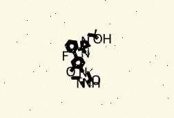 C[C@@H]1C(=O)NN=C2COc3cc(-c4ccccc4F)c(N(C)C4(C)CN(C[C@@H](C)O)C4)cc3N21